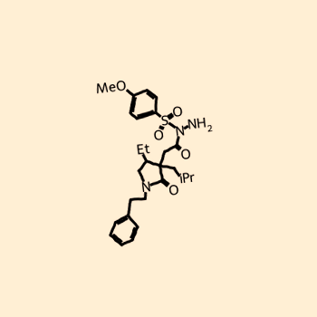 CCC1CN(CCc2ccccc2)C(=O)C1(CC(=O)N(N)S(=O)(=O)c1ccc(OC)cc1)CC(C)C